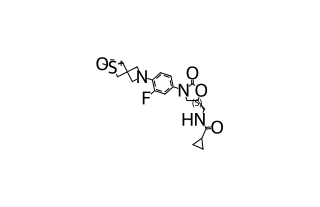 O=C(NC[C@H]1CN(c2ccc(N3CC4(C3)C[S+]([O-])C4)c(F)c2)C(=O)O1)C1CC1